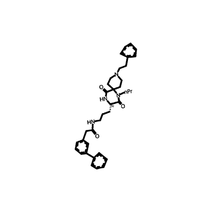 CCCN1C(=O)[C@H](CCCNC(=O)Cc2cccc(-c3ccccc3)c2)NC(=O)C12CCN(CCc1ccccc1)CC2